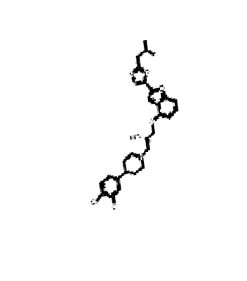 CC(C)Cc1nnc(-c2cc3c(OC[C@@H](O)CN4CCC(c5ccc(Cl)c(Cl)c5)CC4)cccc3o2)o1